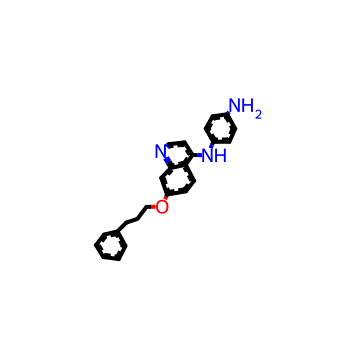 Nc1ccc(Nc2ccnc3cc(OCCCc4ccccc4)ccc23)cc1